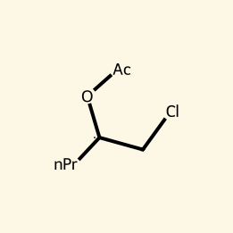 CCC[C](CCl)OC(C)=O